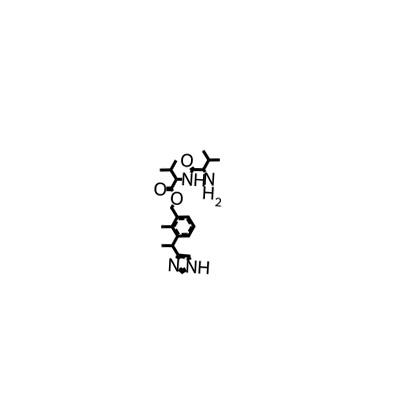 Cc1c(COC(=O)C(NC(=O)C(N)C(C)C)C(C)C)cccc1C(C)c1c[nH]cn1